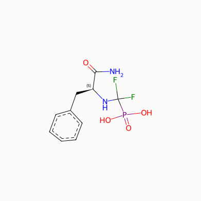 NC(=O)[C@H](Cc1ccccc1)NC(F)(F)P(=O)(O)O